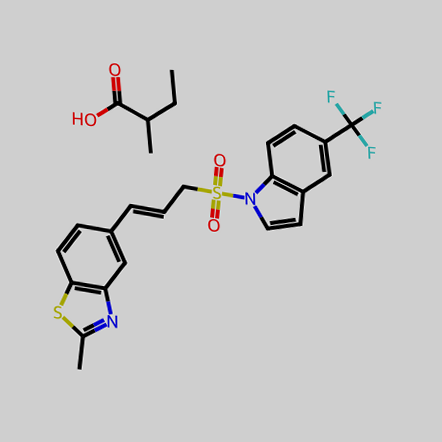 CCC(C)C(=O)O.Cc1nc2cc(C=CCS(=O)(=O)n3ccc4cc(C(F)(F)F)ccc43)ccc2s1